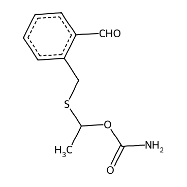 CC(OC(N)=O)SCc1ccccc1C=O